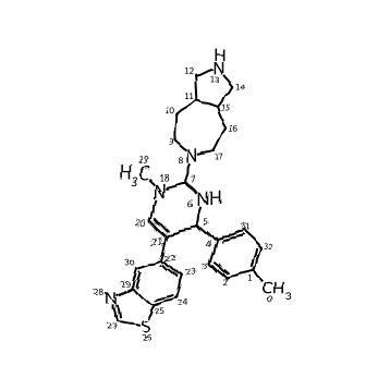 Cc1ccc(C2NC(N3CCC4CNCC4CC3)N(C)C=C2c2ccc3scnc3c2)cc1